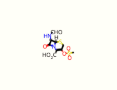 CS(=O)(=O)OC1=C(C(=O)O)N2C(=O)[C@@H](NC=O)[C@H]2SC1